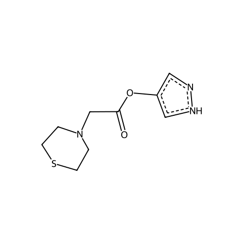 O=C(CN1CCSCC1)Oc1cn[nH]c1